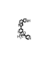 C[C@@H](Oc1cc(-c2cc3n(n2)CCC32CCNC2)cnc1N)c1ccncc1